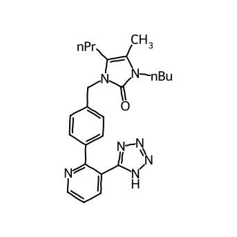 CCCCn1c(C)c(CCC)n(Cc2ccc(-c3ncccc3-c3nnn[nH]3)cc2)c1=O